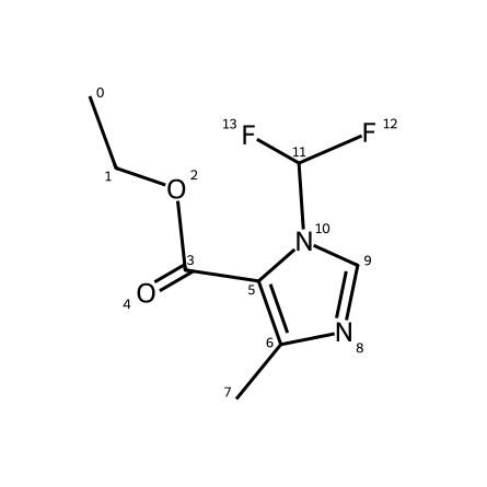 CCOC(=O)c1c(C)ncn1C(F)F